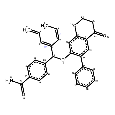 C=C/C=C(\C=C/C)C(Oc1cc2c(cc1-c1ccccc1)C(=O)CCO2)c1ccc(C(N)=O)cc1